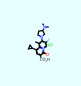 Cc1c(N2CCC(N(C)C)C2)c(F)cn2c(=O)c(C(=O)O)cc(C3CC3)c12.Cl